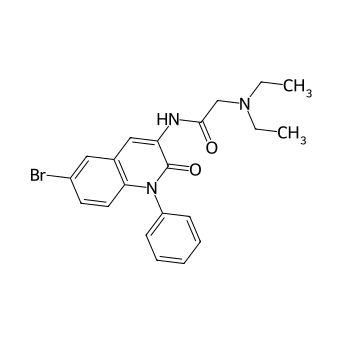 CCN(CC)CC(=O)Nc1cc2cc(Br)ccc2n(-c2ccccc2)c1=O